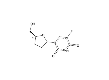 O=c1[nH]c(=O)n(C2CC[C@@H](CO)O2)cc1F